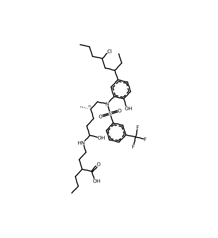 CCCC(Cl)CC(CC)c1ccc(O)c(N(C[C@@H](C)CCC(O)NCCC(CCC)C(=O)O)S(=O)(=O)c2cccc(C(F)(F)F)c2)c1